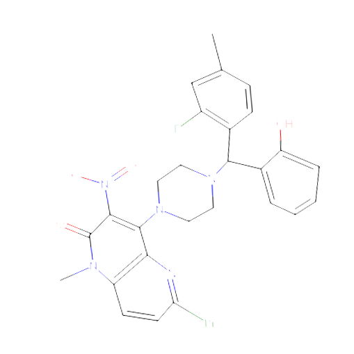 Cc1ccc(C(c2ccccc2O)N2CCN(c3c([N+](=O)[O-])c(=O)n(C)c4ccc(Br)nc34)CC2)c(F)c1